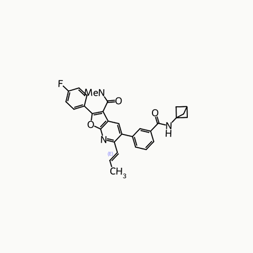 C/C=C/c1nc2oc(-c3ccc(F)cc3)c(C(=O)NC)c2cc1-c1cccc(C(=O)NC23CC(C2)C3)c1